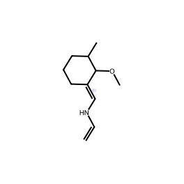 C=CN/C=C1\CCCC(C)C1OC